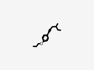 CCCOc1ccc(C#CCC(C)CC)cc1